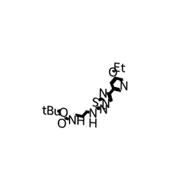 CCOc1cncc(-c2cn3nc(NCCCNC(=O)OC(C)(C)C)sc3n2)c1